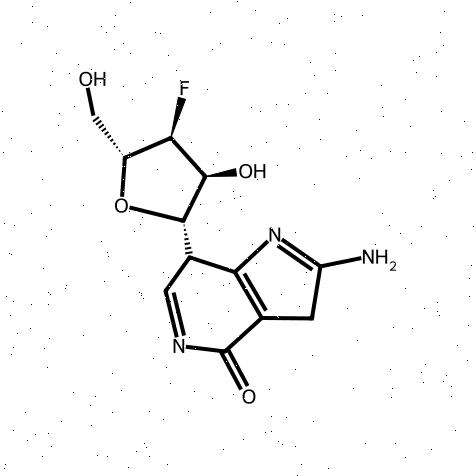 NC1=NC2=C(C1)C(=O)N=CC2[C@@H]1O[C@H](CO)[C@@H](F)[C@H]1O